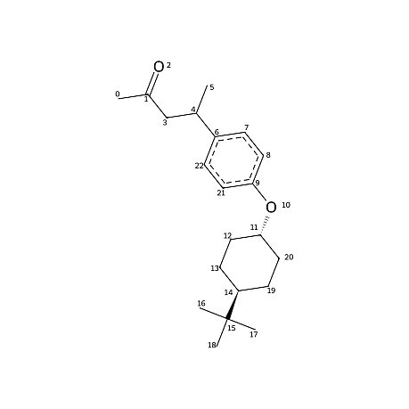 CC(=O)CC(C)c1ccc(O[C@H]2CC[C@H](C(C)(C)C)CC2)cc1